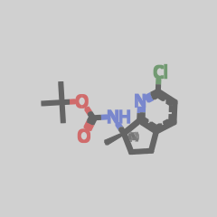 CC(C)(C)OC(=O)N[C@@]1(C)CCc2ccc(Cl)nc21